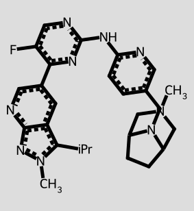 CC(C)c1c2cc(-c3nc(Nc4ccc(CN5C6CCC5CN(C)C6)cn4)ncc3F)cnc2nn1C